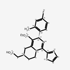 CCOC(=O)C1=C2CN(CC(=O)O)CCN2C(c2nccs2)=N[C@H]1c1ccc(F)cc1C